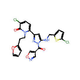 O=C(c1cnoc1)n1nc(-c2ccc(Cl)c(=O)n2CCc2ccco2)cc1NCc1ccc(Cl)s1